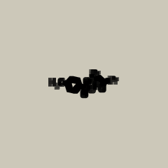 Cc1ccc(S(=O)(=O)OS(CC(=O)C(C)C)(C(C)C)C(C)C)cc1